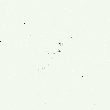 COc1cnc(CN2CCN(C3CC4(CCN(c5ccc(C(=O)NS(=O)(=O)c6ccc(NC[C@H]7CC[C@](C)(O)CC7)c([N+](=O)[O-])c6)c(Oc6cnc7[nH]ccc7c6)c5)CC4)C3)C(c3ccccc3C(C)C)C2)cn1